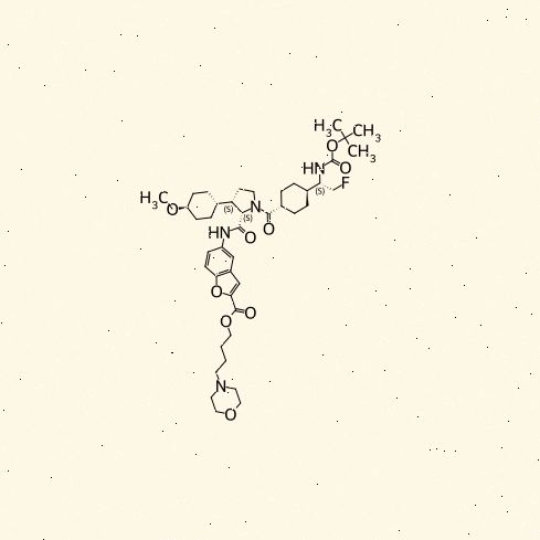 CO[C@H]1CC[C@H]([C@@H]2CCN(C(=O)[C@H]3CC[C@H]([C@@H](CF)NC(=O)OC(C)(C)C)CC3)[C@@H]2C(=O)Nc2ccc3oc(C(=O)OCCCCN4CCOCC4)cc3c2)CC1